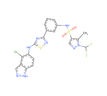 Cc1c(S(=O)(=O)Nc2cccc(-c3nsc(Nc4ccc5[nH]ncc5c4Cl)n3)c2)cnn1C(F)F